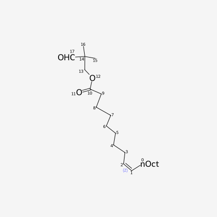 CCCCCCCC/C=C\CCCCCCCC(=O)OCC(C)(C)C=O